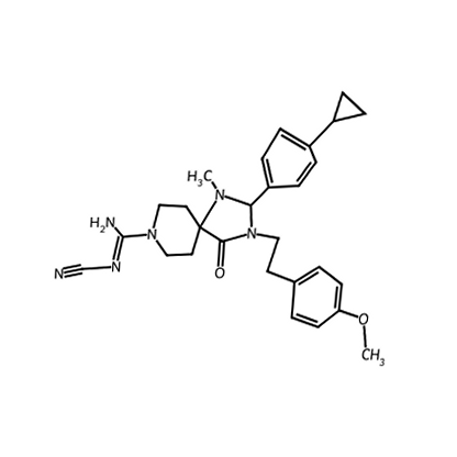 COc1ccc(CCN2C(=O)C3(CCN(/C(N)=N/C#N)CC3)N(C)C2c2ccc(C3CC3)cc2)cc1